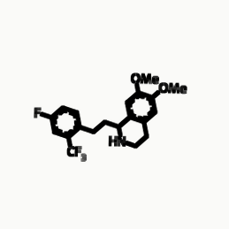 COc1cc2c(cc1OC)C(CCc1ccc(F)cc1C(F)(F)F)NCC2